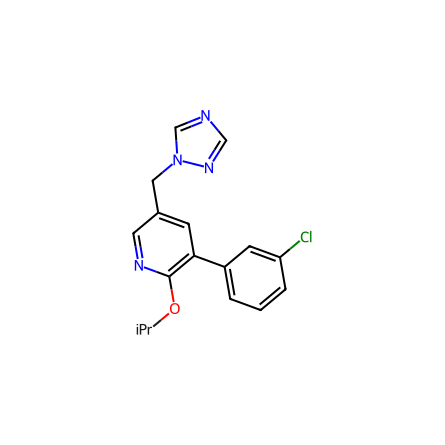 CC(C)Oc1ncc(Cn2cncn2)cc1-c1cccc(Cl)c1